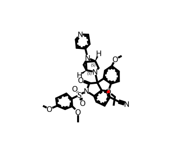 CCOc1ccc(OC)cc1C1(N2C[C@@H]3C[C@H]2CN3c2ccncc2)C(=O)N(S(=O)(=O)c2ccc(OC)cc2OC)c2ccc(C#N)cc21